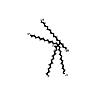 S[CH]CCC(CCCCCCCCCCCCS)C(CCCCCCCCCCCCS)(CCCCCCCCCCCCS)[C](S)CCCCCCCCCCCCS